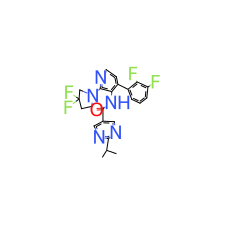 CC(C)c1ncc(C(=O)Nc2c(-c3cccc(F)c3F)ccnc2N2CCC(F)(F)C2)cn1